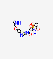 O=C(NCc1cnc(-c2ccc(OCCC3CCCN3)cc2)s1)c1ccc2c(c1)NC(=O)c1ccccc1S2(=O)=O